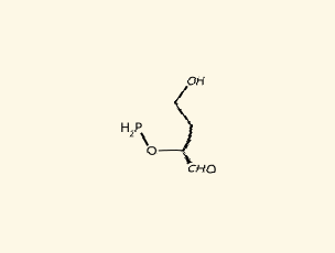 O=C[C@H](CCO)OP